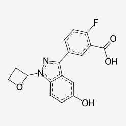 O=C(O)c1cc(-c2nn(C3CCO3)c3ccc(O)cc23)ccc1F